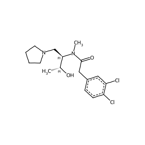 C[C@@H](O)[C@@H](CN1CCCC1)N(C)C(=O)Cc1ccc(Cl)c(Cl)c1